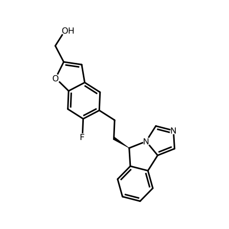 OCc1cc2cc(CC[C@@H]3c4ccccc4-c4cncn43)c(F)cc2o1